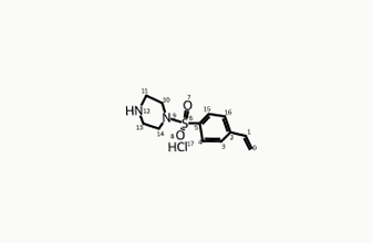 C=Cc1ccc(S(=O)(=O)N2CCNCC2)cc1.Cl